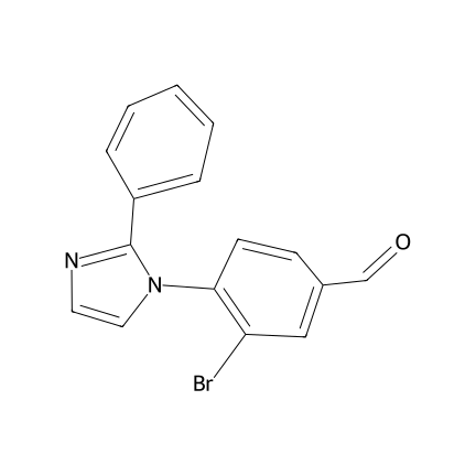 O=Cc1ccc(-n2ccnc2-c2ccccc2)c(Br)c1